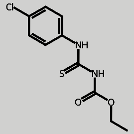 CCOC(=O)NC(=S)Nc1ccc(Cl)cc1